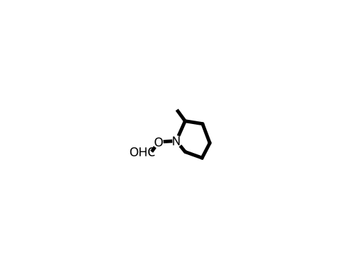 CC1CCCCN1OC=O